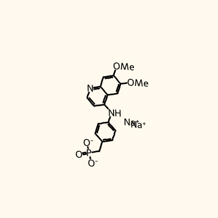 COc1cc2nccc(Nc3ccc(CP(=O)([O-])[O-])cc3)c2cc1OC.[Na+].[Na+]